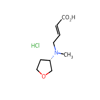 CN(CC=CC(=O)O)[C@H]1CCOC1.Cl